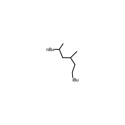 [CH2]CC(C)CCC(C)CC(C)CCCC